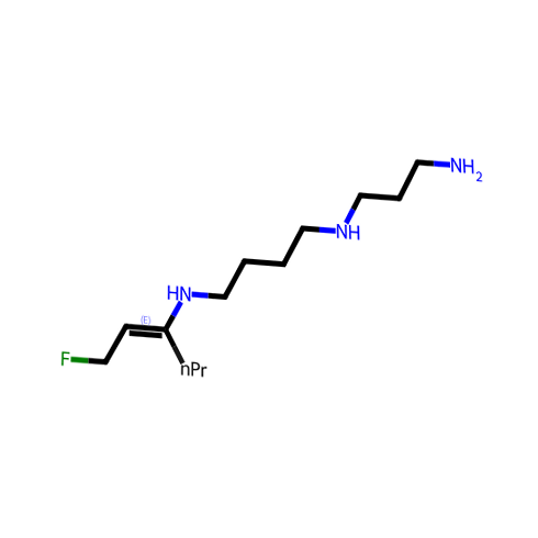 CCC/C(=C\CF)NCCCCNCCCN